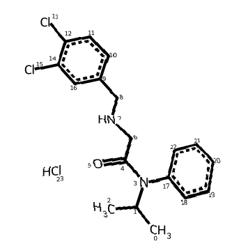 CC(C)N(C(=O)CNCc1ccc(Cl)c(Cl)c1)c1ccccc1.Cl